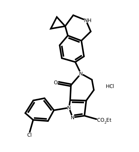 CCOC(=O)c1nn(-c2cccc(Cl)c2)c2c1CCN(c1ccc3c(c1)CNCC31CC1)C2=O.Cl